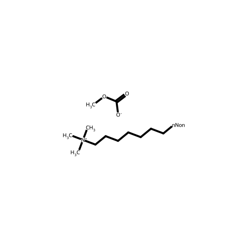 CCCCCCCCCCCCCCCC[N+](C)(C)C.COC(=O)[O-]